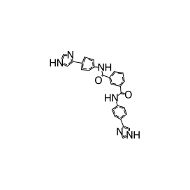 O=C(Nc1ccc(-c2c[nH]cn2)cc1)c1cccc(C(=O)Nc2ccc(-c3c[nH]cn3)cc2)c1